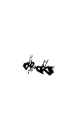 c1ccc2c(c1)[nH]c1cc(Nc3ccc4[nH]c5ccccc5c4c3)ccc12